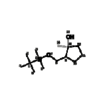 CC(C)(C)[Si](C)(C)OCC1CCC[C@]1(C)O